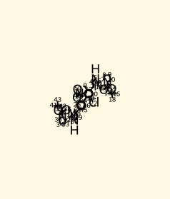 Cc1c(-c2c[nH]c([C@@H]3CCCN3C(=O)OC(C)(C)C)n2)cc(Cl)c(-c2ccc(-c3c[nH]c([C@@H]4CCCN4C(=O)OC(C)(C)C)n3)cc2)c1[N+](=O)[O-]